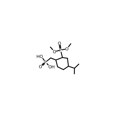 COP(=O)(OC)C1CC(C(C)C)CCC1CP(=O)(O)O